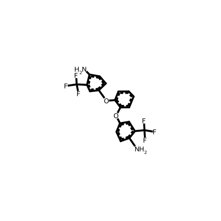 Nc1ccc(Oc2ccccc2Oc2ccc(N)c(C(F)(F)F)c2)cc1C(F)(F)F